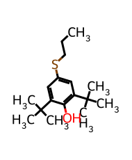 CCCSc1cc(C(C)(C)C)c(O)c(C(C)(C)C)c1